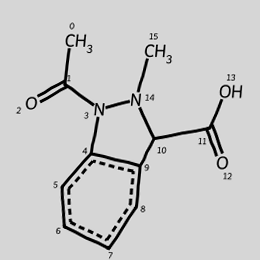 CC(=O)N1c2ccccc2C(C(=O)O)N1C